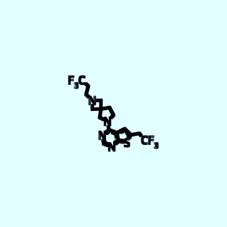 FC(F)(F)CCN1CC2(CCN(c3ncnc4sc(CC(F)(F)F)cc34)C2)C1